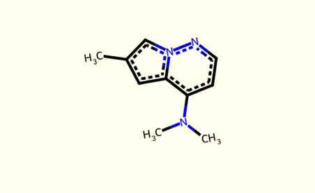 Cc1cc2c(N(C)C)ccnn2c1